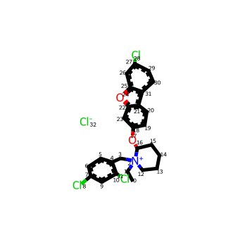 CC[N+]1(Cc2ccc(Cl)cc2Cl)CCCCC1Oc1ccc2c(c1)oc1cc(Cl)ccc12.[Cl-]